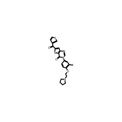 O=C(c1ccsc1)c1cc2ncn(-c3ccc(OCCN4CCCC4)c(F)c3)c(=O)c2s1